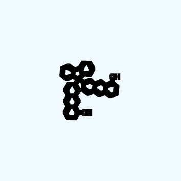 Oc1cccc2cc3ccc(C4(c5ccc6cc7cccc(O)c7cc6c5)c5ccccc5-c5ccccc54)cc3cc12